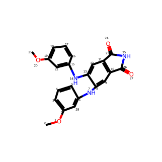 COc1cccc(Nc2cc3c(cc2Nc2cccc(OC)c2)C(=O)NC3=O)c1